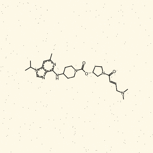 Cc1cc2c(ncn2C(C)C)c(NC2CCN(C(=O)O[C@@H]3CCN(C(=O)/C=C/CN(C)C)C3)CC2)n1